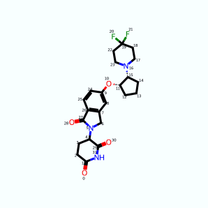 O=C1CCC(N2Cc3cc(O[C@H]4CCC[C@H]4N4CCC(F)(F)CC4)ccc3C2=O)C(=O)N1